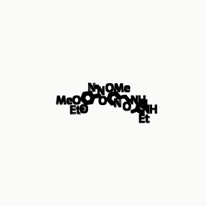 CCOc1cc2c(Oc3cnc(CC(=O)Nc4n[nH]c(CC)c4C)c(OC)c3)ncnc2cc1OC